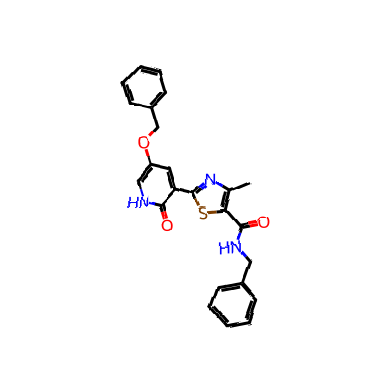 Cc1nc(-c2cc(OCc3ccccc3)c[nH]c2=O)sc1C(=O)NCc1ccccc1